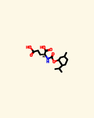 CC1CCC(C(C)C)C(OC(=O)N[C@@H](CCC(=O)O)C(=O)O)C1